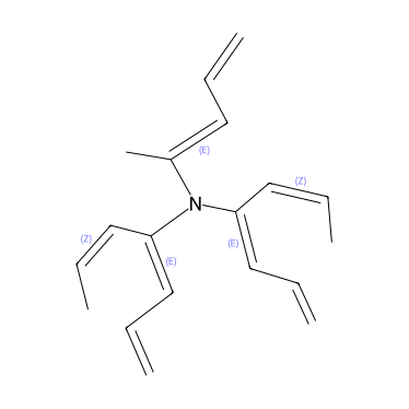 C=C/C=C(\C)N(C(/C=C\C)=C/C=C)C(/C=C\C)=C/C=C